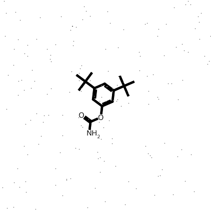 CC(C)(C)c1cc(OC(N)=O)cc(C(C)(C)C)c1